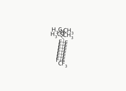 CN(C)[Si](C)(C)CCC(F)(F)C(F)(F)C(F)(F)C(F)(F)C(F)(F)C(F)(F)C(F)(F)C(F)(F)F